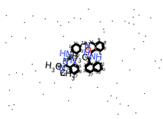 C[C@@H](NC(=O)c1ccccc1CNC[C@H]1CC[C@@H](Nc2nc(N(C)C)c3ccccc3n2)CC1)c1cccc2ccccc12